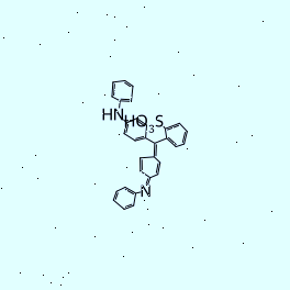 O=S(=O)(O)c1ccccc1C(=C1C=CC(=Nc2ccccc2)C=C1)c1ccc(Nc2ccccc2)cc1